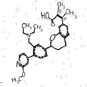 CCN(CC)Cc1cc(C2CCc3ccc([C@H](C)[C@H](C)C(=O)O)cc3O2)ccc1-c1ccnc(OC)c1